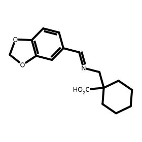 O=C(O)C1(CN=Cc2ccc3c(c2)OCO3)CCCCC1